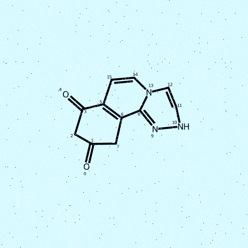 O=C1CC(=O)C2=C(C1)C1=NNC=CN1C=C2